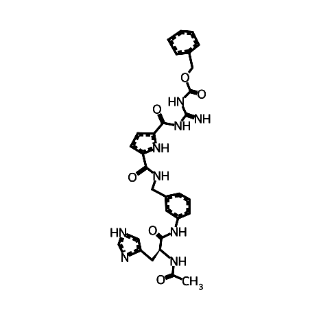 CC(=O)N[C@@H](Cc1c[nH]cn1)C(=O)Nc1cccc(CNC(=O)c2ccc(C(=O)NC(=N)NC(=O)OCc3ccccc3)[nH]2)c1